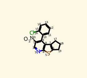 O=[N+]([O-])c1cnc2sc3c(c2c1-c1ccccc1Cl)CCC3